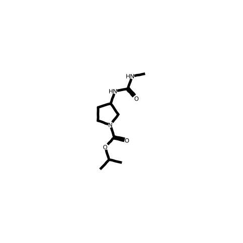 CNC(=O)NC1CCN(C(=O)OC(C)C)C1